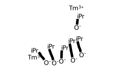 CC(C)[O-].CC(C)[O-].CC(C)[O-].CC(C)[O-].CC(C)[O-].CC(C)[O-].[Tm+3].[Tm+3]